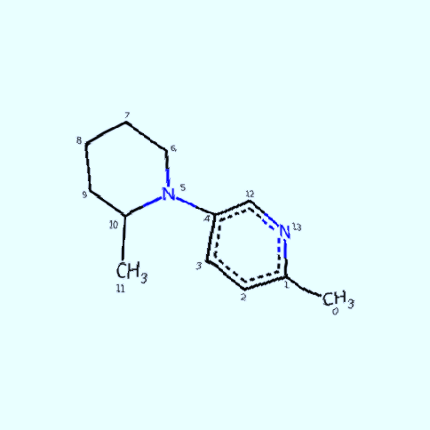 Cc1ccc(N2CCCCC2C)cn1